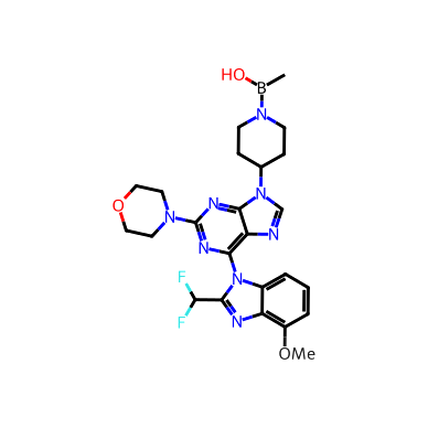 COc1cccc2c1nc(C(F)F)n2-c1nc(N2CCOCC2)nc2c1ncn2C1CCN(B(C)O)CC1